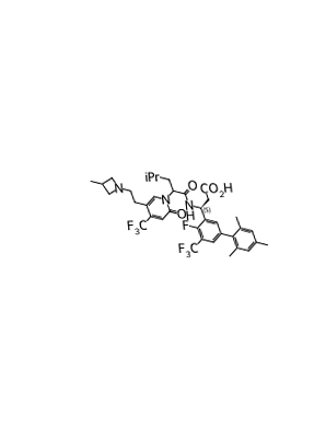 Cc1cc(C)c(-c2cc([C@H](CC(=O)O)NC(=O)C(CC(C)C)n3cc(CCN4CC(C)C4)c(C(F)(F)F)cc3=O)c(F)c(C(F)(F)F)c2)c(C)c1